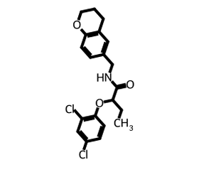 CCC(Oc1ccc(Cl)cc1Cl)C(=O)NCc1ccc2c(c1)CCCO2